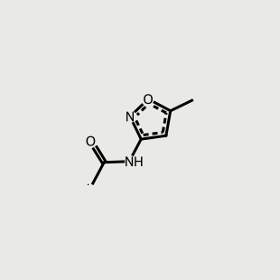 [CH2]C(=O)Nc1cc(C)on1